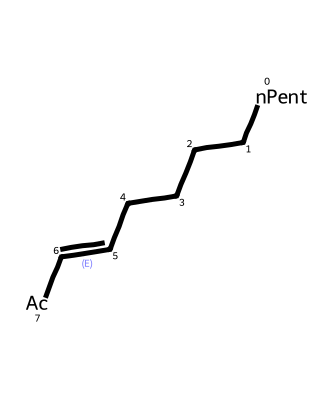 CCCCCCCCC/C=C/C(C)=O